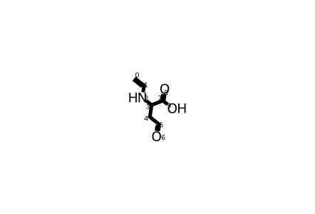 C=CNC(CC=O)C(=O)O